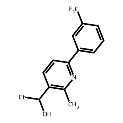 CCC(O)c1ccc(-c2cccc(C(F)(F)F)c2)nc1C